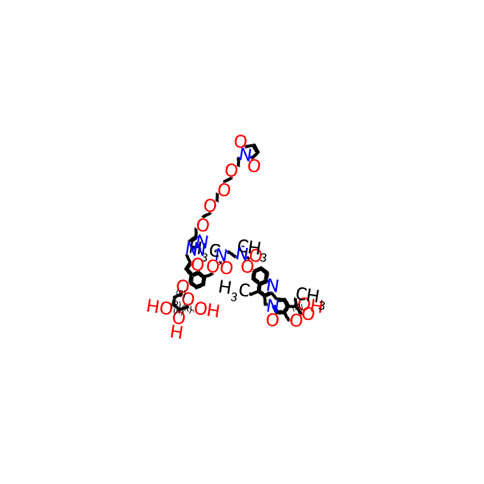 CCc1c2c(nc3ccc(OC(=O)N(C)CCN(C)C(=O)OCc4ccc(O[C@H]5C[C@@H](O)[C@@H](O)[C@@H](CO)O5)c5cc(Cn6cc(COCCOCCOCCOCCN7C(=O)C=CC7=O)nn6)oc45)cc13)-c1cc3c(c(=O)n1C2)COC(=O)[C@@]3(O)CC